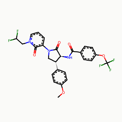 COc1ccc([C@@H]2CN(c3cccn(CC(F)F)c3=O)C(=O)[C@H]2NC(=O)c2ccc(OC(F)(F)F)cc2)cc1